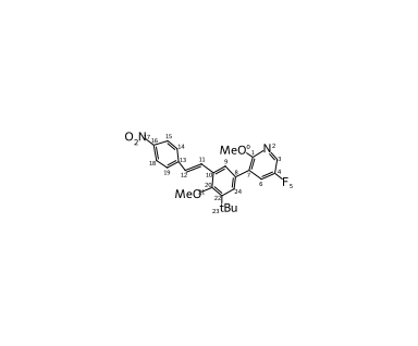 COc1ncc(F)cc1-c1cc(/C=C/c2ccc([N+](=O)[O-])cc2)c(OC)c(C(C)(C)C)c1